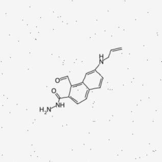 C=CCNc1ccc2ccc(C(=O)NN)c(C=O)c2c1